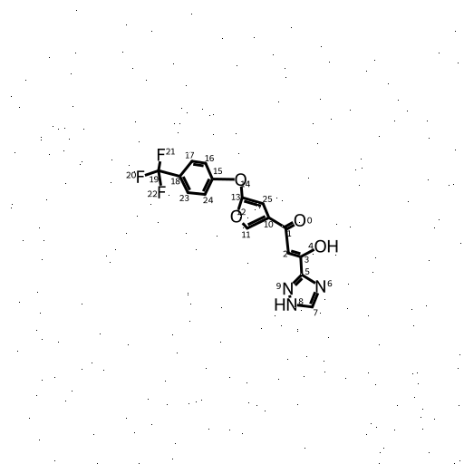 O=C(C=C(O)c1nc[nH]n1)c1coc(Oc2ccc(C(F)(F)F)cc2)c1